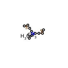 CC1(C)c2ccccc2-c2ccc(N(c3ccc(-c4ccc(-c5cccc6c5sc5ccccc56)cc4)cc3)c3ccc(-c4ccc(-c5cccc6c5sc5ccccc56)cc4)cc3)cc21